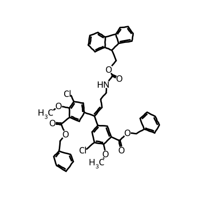 COc1c(Cl)cc(C(=CCCNC(=O)OCC2c3ccccc3-c3ccccc32)c2cc(Cl)c(OC)c(C(=O)OCc3ccccc3)c2)cc1C(=O)OCc1ccccc1